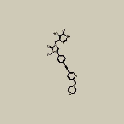 CC(C)n1c(-c2ccc(C#Cc3ccc(CN4CCOCC4)nc3)cc2)cn(Cc2nc[nH]c(=O)c2O)c1=O